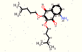 CC(C)CCCOC1=C(OCCCC(C)C)C(=O)c2c(N)cccc2C1=O